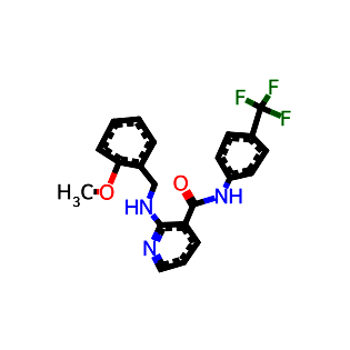 COc1ccccc1CNc1ncccc1C(=O)Nc1ccc(C(F)(F)F)cc1